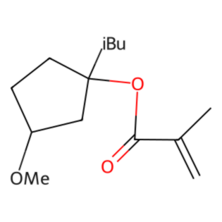 C=C(C)C(=O)OC1(C(C)CC)CCC(OC)C1